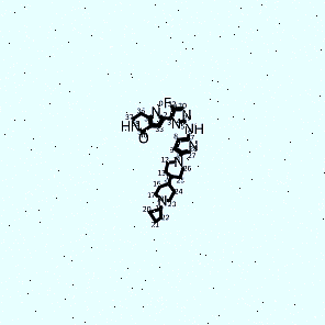 Cn1c(-c2nc(Nc3ccc(N4CCC(C5CCN(C6CCC6)CC5)CC4)cn3)ncc2F)cc2c1CCNC2=O